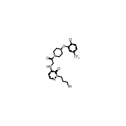 CC(C)CCCn1nccc(NCC(=O)N2CCC(Oc3cc(C(F)(F)F)ccc3Cl)CC2)c1=O